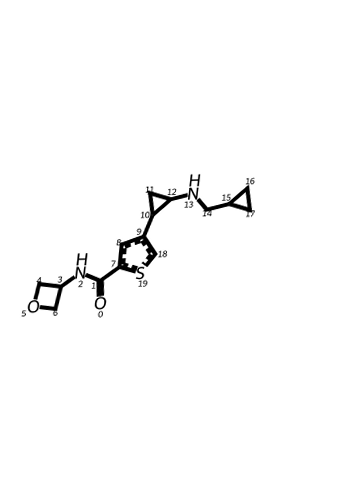 O=C(NC1COC1)c1cc(C2CC2NCC2CC2)cs1